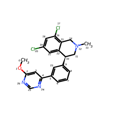 COc1cc(-c2cccc([C@@H]3CN(C)Cc4c(Cl)cc(Cl)cc43)c2)ncn1